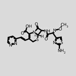 CON=C(C(=O)NC1C(=O)N2C(C(=O)O)=C(C=Cc3cccnn3)CS[C@@H]12)c1csc(N)n1